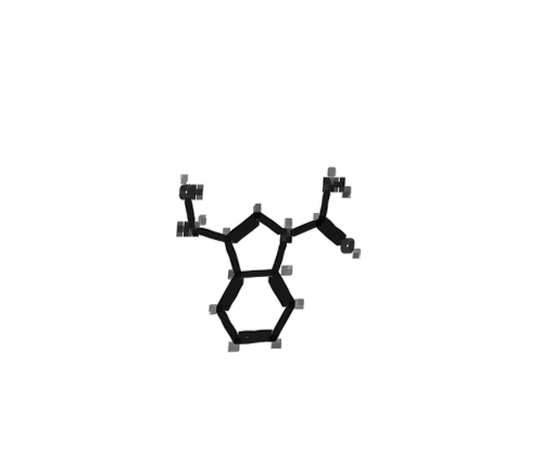 NC(=O)n1cc(NO)c2ccccc21